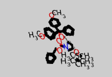 COc1ccc(C(OC[C@@H]2C[C@@H](O[Si](C)(C)C(C)(C)C)CN2C(=O)OCc2ccccc2)(c2ccccc2)c2ccc(OC)cc2)cc1